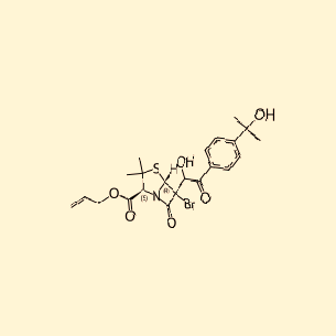 C=CCOC(=O)[C@@H]1N2C(=O)C(Br)(C(O)C(=O)c3ccc(C(C)(C)O)cc3)[C@H]2SC1(C)C